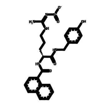 N/C(=N/[N+](=O)[O-])NCCC[C@@H](NC(=O)c1cccc2ccccc12)C(=O)NCc1ccc(O)cc1